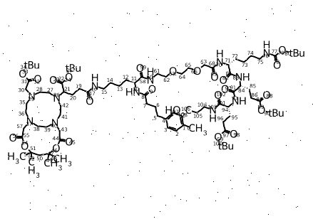 Cc1ccc(CCCC(=O)N[C@@H](CCCCNC(=O)CCC(C(=O)OC(C)(C)C)N2CCN(CC(=O)OC(C)(C)C)CCN3CCN(CC2)CC(=O)OC(C)(C)CC(C)(C)OC(=O)C3)C(=O)NCCOCCOCC(=O)N[C@H](CCCCNC(=O)OC(C)(C)C)C(=O)N[C@H](CCC(=O)OC(C)(C)C)C(=O)N[C@H](CCC(=O)OC(C)(C)C)C(=O)NCCC(=O)O)cc1